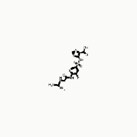 NC(N)NCC(=O)Nc1ncc(S(=O)(=O)Nc2scnc2C(=O)O)cc1F